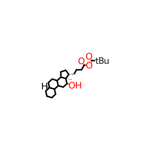 CC(C)(C)C(=O)OC(=O)CCC[C@H]1CCC2C3CC[C@@H]4CCCCC4C3C[C@H](O)[C@@]21C